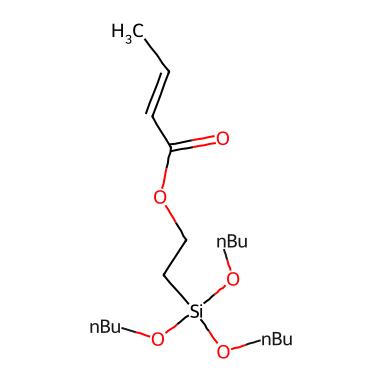 CC=CC(=O)OCC[Si](OCCCC)(OCCCC)OCCCC